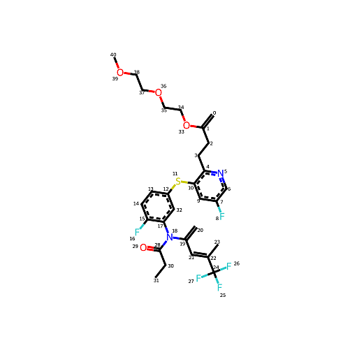 C=C(CCc1ncc(F)cc1Sc1ccc(F)c(N(C(=C)/C=C(\C)C(F)(F)F)C(=O)CC)c1)OCCOCCOC